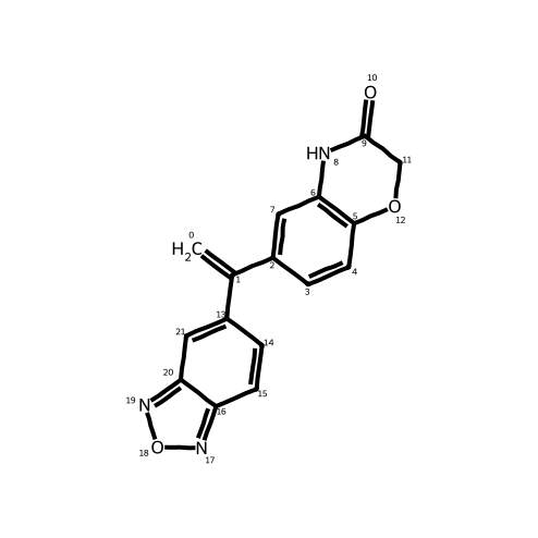 C=C(c1ccc2c(c1)NC(=O)CO2)c1ccc2nonc2c1